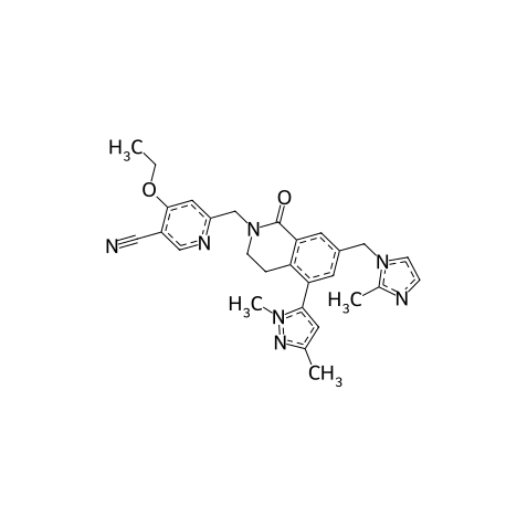 CCOc1cc(CN2CCc3c(cc(Cn4ccnc4C)cc3-c3cc(C)nn3C)C2=O)ncc1C#N